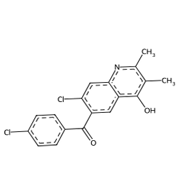 Cc1nc2cc(Cl)c(C(=O)c3ccc(Cl)cc3)cc2c(O)c1C